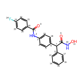 O=C(Nc1ccc(C(C(=O)NO)c2ccccc2)cc1)c1ccc(F)cc1